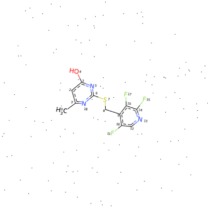 Cc1cc(O)nc(SCc2c(F)cnc(F)c2F)n1